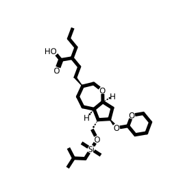 CCCC(CC[C@@H]1CC[C@@H]2[C@@H](CO[Si](C)(C)CC(C)C)[C@H](OC3CCCCO3)C[C@@H]2OC1)C(=O)O